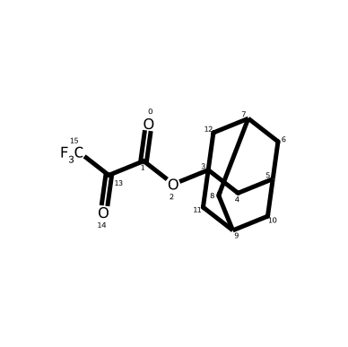 O=C(OC12CC3CC(CC(C3)C1)C2)C(=O)C(F)(F)F